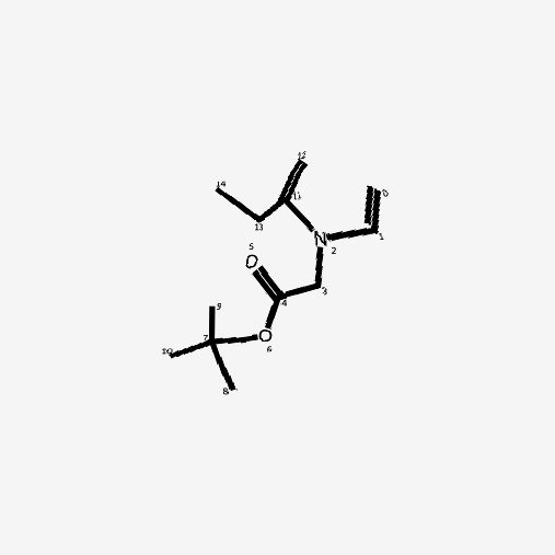 C=CN(CC(=O)OC(C)(C)C)C(=C)CC